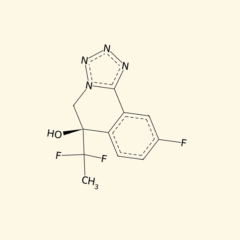 CC(F)(F)[C@]1(O)Cn2nnnc2-c2cc(F)ccc21